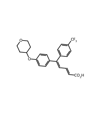 O=C(O)C=CC=C(c1ccc(OC2CCOCC2)cc1)c1ccc(C(F)(F)F)cc1